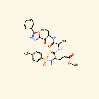 Cc1ccc(S(=O)(=O)NC(CCC(=O)OC(C)(C)C)C(=O)NC(C)C(=O)NC(CC(C)C)C(=O)c2nnc(-c3ccccc3)o2)cc1